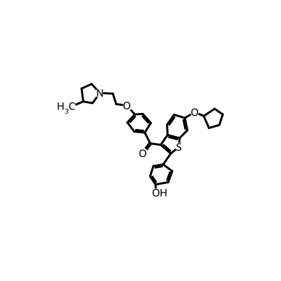 CC1CCN(CCOc2ccc(C(=O)c3c(-c4ccc(O)cc4)sc4cc(OC5CCCC5)ccc34)cc2)C1